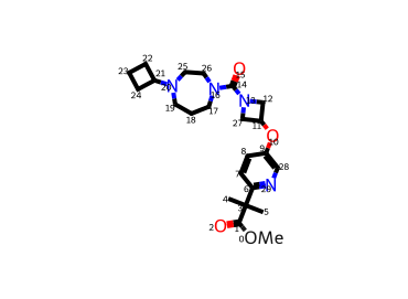 COC(=O)C(C)(C)c1ccc(OC2CN(C(=O)N3CCCN(C4CCC4)CC3)C2)cn1